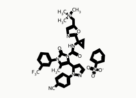 Cc1c(-c2ccnn2-c2ccc(C#N)cc2)n(C(=O)NC2(c3ncc(C[N+](C)(C)C)o3)CC2)c(=O)n1-c1cccc(C(F)(F)F)c1.O=S(=O)([O-])c1ccccc1